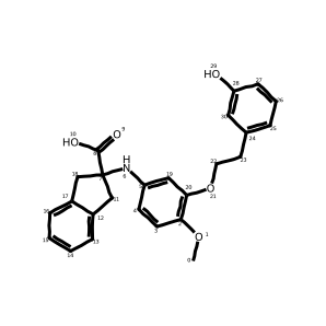 COc1ccc(NC2(C(=O)O)Cc3ccccc3C2)cc1OCCc1cccc(O)c1